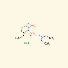 C=CC1=C(C(=O)OCCN(CC)CC)N2C(=O)CC2SC1.Cl